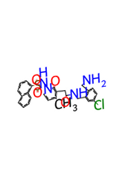 Cc1ccn(NS(=O)(=O)c2cccc3ccccc23)c(=O)c1CC(=O)NCc1cc(Cl)ccc1CN